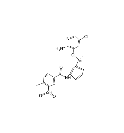 Cc1ccc(C(=O)Nc2cccc([C@@H](C)Oc3cc(Cl)cnc3N)c2)cc1[SH](=O)=O